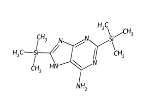 C[Si](C)(C)c1nc(N)c2[nH]c([Si](C)(C)C)nc2n1